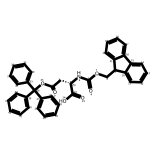 O=C(C[C@H](NC(=O)OCC1c2ccccc2-c2ccccc21)C(=O)O)OC(c1ccccc1)(c1ccccc1)c1ccccc1